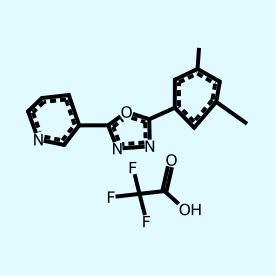 Cc1cc(C)cc(-c2nnc(-c3cccnc3)o2)c1.O=C(O)C(F)(F)F